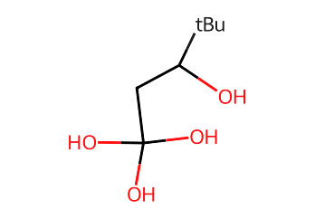 CC(C)(C)C(O)CC(O)(O)O